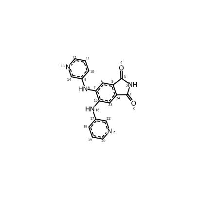 O=C1NC(=O)c2cc(Nc3cccnc3)c(Nc3cccnc3)cc21